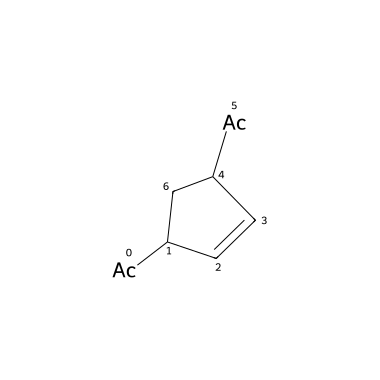 CC(=O)C1C=CC(C(C)=O)C1